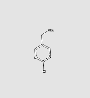 [CH2]CCCCc1ccc(Cl)nc1